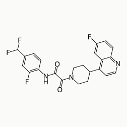 O=C(Nc1ccc(C(F)F)cc1F)C(=O)N1CCC(c2ccnc3ccc(F)cc23)CC1